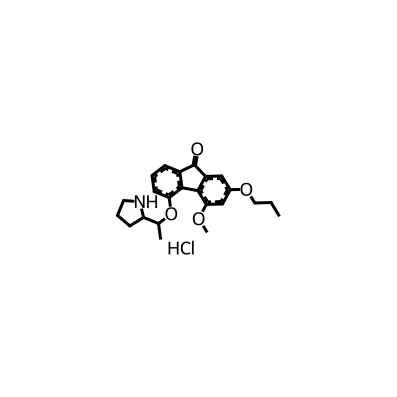 CCCOc1cc(OC)c2c(c1)C(=O)c1cccc(OC(C)C3CCCN3)c1-2.Cl